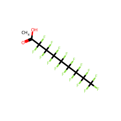 C.O=C(O)C(F)(F)C(F)(F)C(F)(F)C(F)(F)C(F)(F)C(F)(F)C(F)(F)C(F)(F)F